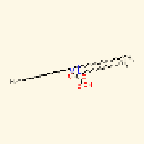 CCCCCCCCCCCCCCCCN(CCCCCCCCCCCCCCCC)C(=O)[C@H](CCC(=O)O)NC(=O)CCCCCCCCCCC